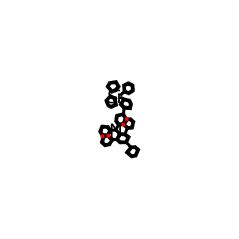 c1ccc(-c2cc(-c3ccccc3)c(N(c3ccccc3)c3ccc(-c4cccc([Si](c5ccccc5)(c5ccccc5)c5ccccc5)c4)cc3)c(-c3ccccc3)c2)cc1